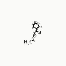 C=CCOCC(=O)c1ccccc1